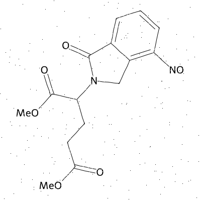 COC(=O)CCC(C(=O)OC)N1Cc2c(N=O)cccc2C1=O